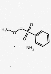 COOS(=O)(=O)c1ccccc1.N